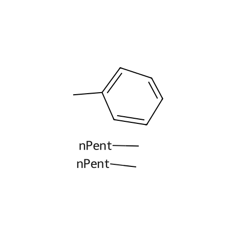 CCCCCC.CCCCCC.Cc1ccccc1